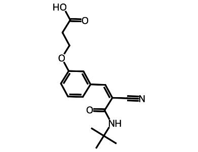 CC(C)(C)NC(=O)C(C#N)=Cc1cccc(OCCC(=O)O)c1